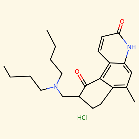 CCCCN(CCCC)CC1CCc2c(C)cc3[nH]c(=O)ccc3c2C1=O.Cl